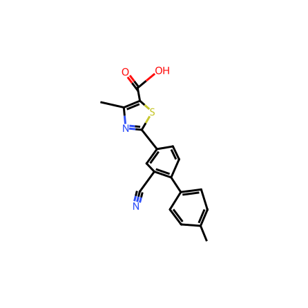 Cc1ccc(-c2ccc(-c3nc(C)c(C(=O)O)s3)cc2C#N)cc1